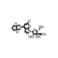 C#C[C@@]1(O)[C@@H](CO)O[C@@H](n2ncc3c(N4C[C@H]5CCC[C@H]5C4)cc(Cl)nc32)[C@@H]1O